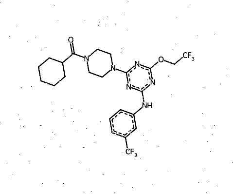 O=C(C1CCCCC1)N1CCN(c2nc(Nc3cccc(C(F)(F)F)c3)nc(OCC(F)(F)F)n2)CC1